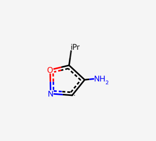 CC(C)c1on[c]c1N